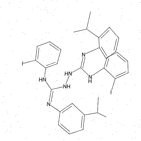 CC(C)c1cccc(N=C(NNC(=Nc2ccccc2C(C)C)Nc2ccccc2I)Nc2ccccc2I)c1